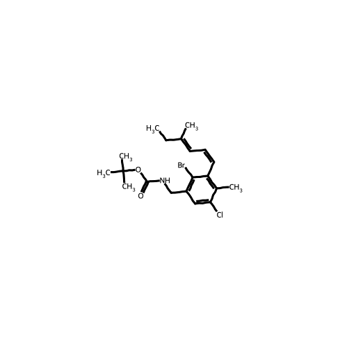 CC/C(C)=C/C=C\c1c(C)c(Cl)cc(CNC(=O)OC(C)(C)C)c1Br